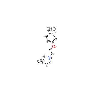 C[C@@H]1CCN(CCOc2ccc(C=O)cc2)C1